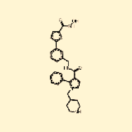 O=C(NO)c1ccc(-c2cccc(CNC(=O)c3ccn(CC4CCNCC4)c3-c3ccccc3)c2)s1